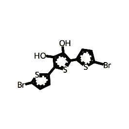 Oc1c(-c2ccc(Br)s2)sc(-c2ccc(Br)s2)c1O